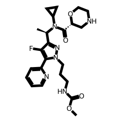 COC(=O)NCCCn1nc([C@@H](C)N(C(=O)[C@H]2CNCCO2)C2CC2)c(F)c1-c1ccccn1